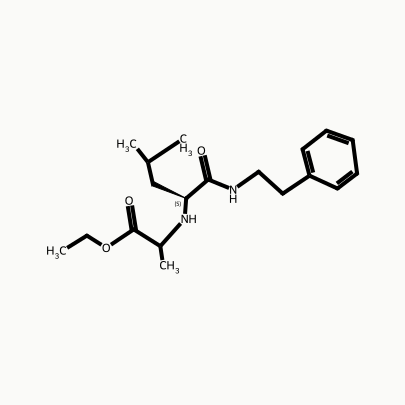 CCOC(=O)C(C)N[C@@H](CC(C)C)C(=O)NCCc1ccccc1